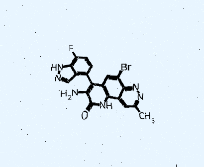 Cc1cc2c(nn1)c(Br)cc1c(-c3ccc(F)c4[nH]ncc34)c(N)c(=O)[nH]c12